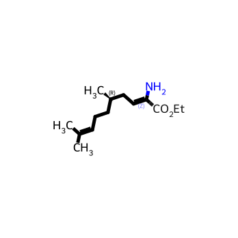 CCOC(=O)/C(N)=C/C[C@H](C)CCC=C(C)C